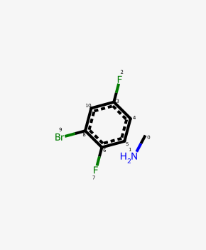 CN.Fc1ccc(F)c(Br)c1